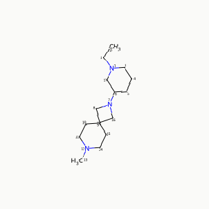 CCN1CCCC(N2CC3(CCN(C)CC3)C2)C1